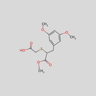 COC(=O)C(Cc1cc(OC)cc(OC)c1)SCC(=O)O